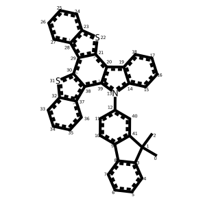 CC1(C)c2ccccc2-c2ccc(-n3c4ccccc4c4c5sc6ccccc6c5c5sc6ccccc6c5c43)cc21